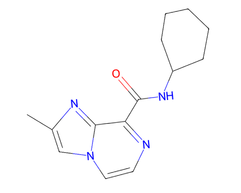 Cc1cn2ccnc(C(=O)NC3CCCCC3)c2n1